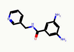 Nc1cc(N)cc(C(=O)NCc2cccnc2)c1